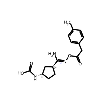 Cc1ccc(CC(=O)O/N=C(\N)[C@H]2CC[C@H](NC(=O)O)C2)cc1